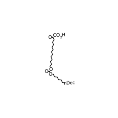 CCCCCCCCCCCCCCCCOC(=O)OCCCCCCCCCCCCC(=O)C(=O)O